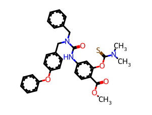 COC(=O)c1ccc(NC(=O)N(Cc2ccccc2)Cc2ccc(Oc3ccccc3)cc2)cc1OC(=S)N(C)C